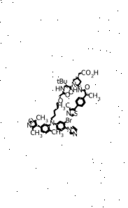 Cc1ccc(-c2c(C)noc2C)cc1N(CCCCCOCC(=O)N[C@H](C(=O)N1C[C@@H](CC(=O)O)C[C@H]1NC(=O)[C@@H](C)c1ccc(-c2scnc2C)cc1)C(C)(C)C)c1ccc(-n2ccnc2)c(Br)c1